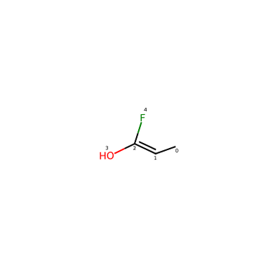 CC=C(O)F